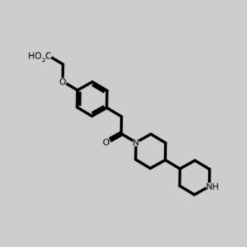 O=C(O)COc1ccc(CC(=O)N2CCC(C3CCNCC3)CC2)cc1